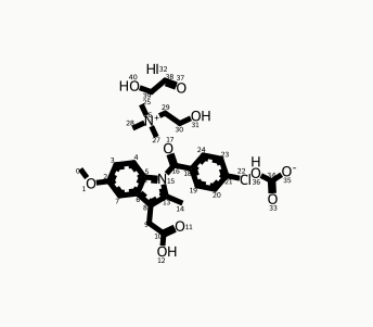 COc1ccc2c(c1)c(CC(=O)O)c(C)n2C(=O)c1ccc(Cl)cc1.C[N+](C)(C)CCO.I.O=C([O-])O.O=CCO